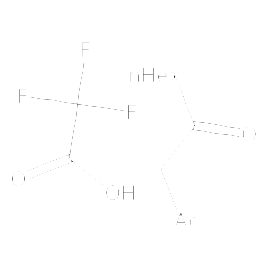 CCCCCCC(=O)CC(C)=O.O=C(O)C(F)(F)F